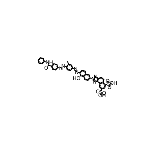 Cc1cc(N=Nc2ccc3cc(-n4nc5ccc6c(S(=O)(=O)O)cc(S(=O)(=O)O)cc6c5n4)ccc3c2O)ccc1N=Nc1ccc(C(=O)Nc2ccccc2)cc1